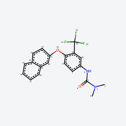 CN(C)C(=O)Nc1ccc(Oc2ccc3ccccc3c2)c(C(F)(F)F)c1